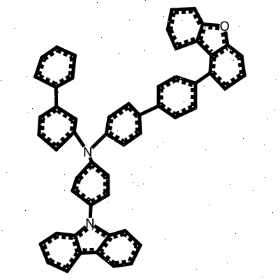 c1ccc(-c2cccc(N(c3ccc(-c4ccc(-c5cccc6oc7ccccc7c56)cc4)cc3)c3ccc(-n4c5ccccc5c5ccccc54)cc3)c2)cc1